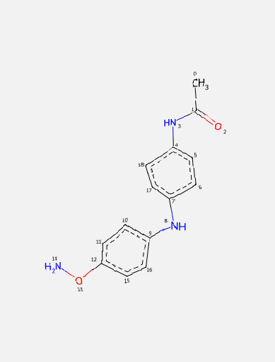 CC(=O)Nc1ccc(Nc2ccc(ON)cc2)cc1